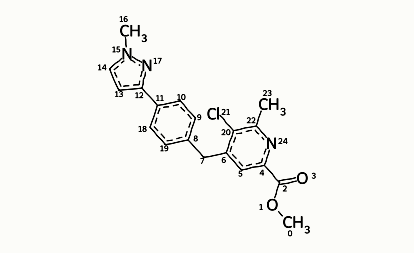 COC(=O)c1cc(Cc2ccc(-c3ccn(C)n3)cc2)c(Cl)c(C)n1